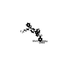 COc1cc(C(=O)N2CCC(CCN3CCCN(c4nc5ccccc5n4CCOCC(F)(F)F)CC3)(c3ccncc3)C2)cc(OC)c1OC